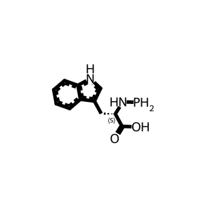 O=C(O)[C@H](Cc1c[nH]c2ccccc12)NP